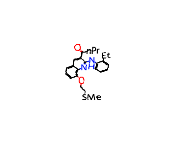 CCCC(=O)c1cc2cccc(OCCSC)c2nc1Nc1ccccc1CC